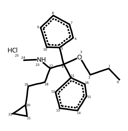 CCCOC(c1ccccc1)(c1ccccc1)C(CCC1CC1)NC.Cl